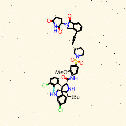 COc1cc(S(=O)(=O)N2CCC[C@@H](CC#Cc3cccc4c3CN(C3CCC(=O)NC3=O)C4=O)C2)ccc1NC(=O)[C@@H]1N[C@@H](CC(C)(C)C)[C@@]2(CNc3cc(Cl)ccc32)[C@H]1c1cccc(Cl)c1F